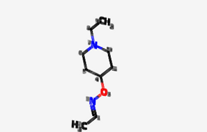 C/C=N/OC1CCN(CC)CC1